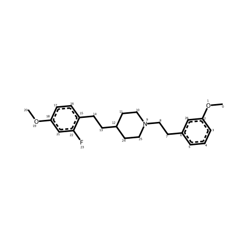 COc1cccc(CCN2CCC(CCc3ccc(OC)cc3F)CC2)c1